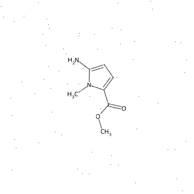 COC(=O)c1ccc(N)n1C